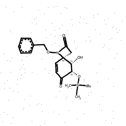 CC(C)(C)[Si](C)(C)O[C@@H]1C(=O)C=C[C@]2(CC(=O)N2OCc2ccccc2)[C@@H]1O